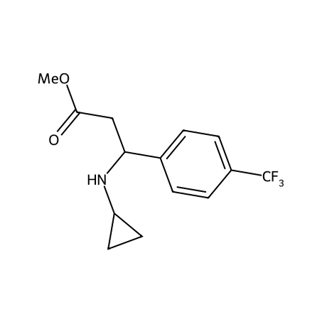 COC(=O)CC(NC1CC1)c1ccc(C(F)(F)F)cc1